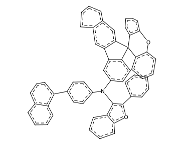 c1ccc(-c2oc3ccccc3c2N(c2ccc(-c3cccc4ccccc34)cc2)c2ccc3c(c2)-c2cc4ccccc4cc2C32c3ccccc3Oc3ccccc32)cc1